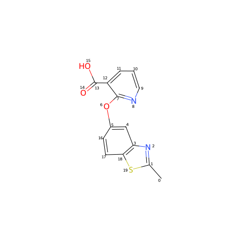 Cc1nc2cc(Oc3ncccc3C(=O)O)ccc2s1